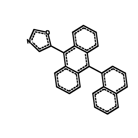 c1ccc2c(-c3c4ccccc4c(-c4cnco4)c4ccccc34)cccc2c1